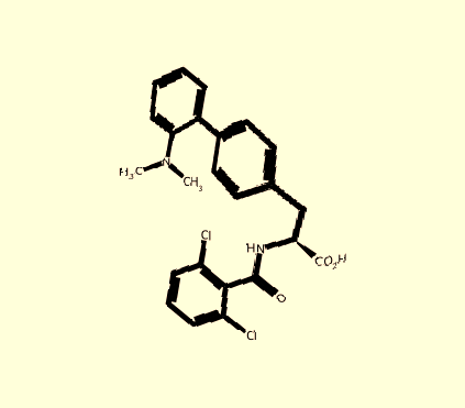 CN(C)c1ccccc1-c1ccc(C[C@H](NC(=O)c2c(Cl)cccc2Cl)C(=O)O)cc1